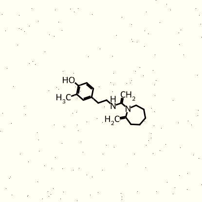 C=C1CCCCCN1C(=C)NCCc1ccc(O)c(C)c1